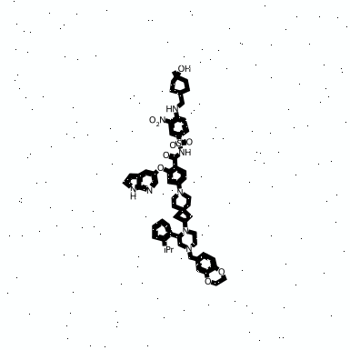 CC(C)c1ccccc1C1CN(Cc2ccc3c(c2)OCCO3)CCN1C1CC2(CCN(c3ccc(C(=O)NS(=O)(=O)c4ccc(NCC5CCC(C)(O)CC5)c([N+](=O)[O-])c4)c(Oc4cnc5[nH]ccc5c4)c3)CC2)C1